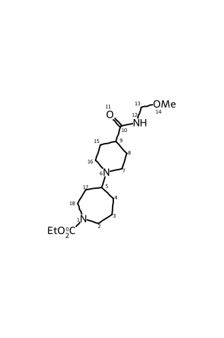 CCOC(=O)N1CCCC(N2CCC(C(=O)NCOC)CC2)CC1